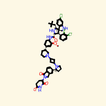 COc1cc([C@H]2CCCN(C3CC(N4CCC[C@H]4c4ccc5c(c4)CN(C4CCC(=O)NC4=O)C5=O)C3)C2)ccc1NC(=O)[C@@H]1N[C@@H](CC(C)(C)C)[C@@]2(CNc3cc(Cl)ccc32)[C@H]1c1cccc(Cl)c1F